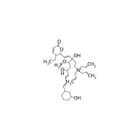 C=CC[N+](CC=C)(CC=C)CCC(O)(C=CC1OC(=O)C=CC1CC)C(CC(O)C=CC=CC1CCCC(O)C1)OP